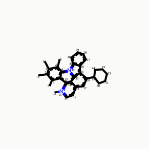 Cc1c(C)c(C)c2c(c1C)c1c3c(cc[n+]1C)cc(C1CCCCC1)c1c4ccccc4n2c13